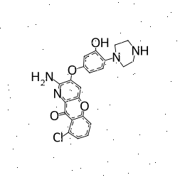 Nc1nc2c(=O)c3c(Cl)cccc3oc2cc1Oc1ccc(N2CCNCC2)c(O)c1